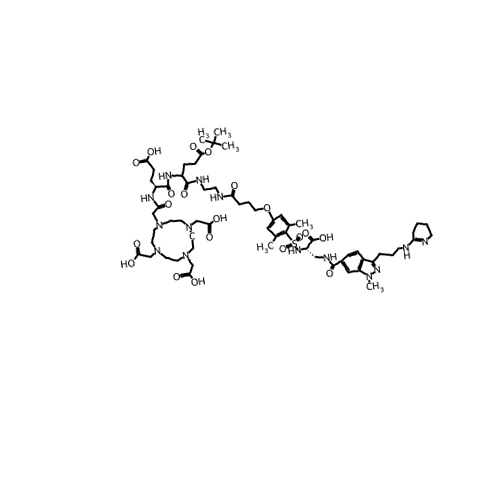 Cc1cc(OCCCC(=O)NCCNC(=O)C(CCC(=O)OC(C)(C)C)NC(=O)[C@H](CCC(=O)O)NC(=O)CN2CCN(CC(=O)O)CCN(CC(=O)O)CCN(CC(=O)O)CC2)cc(C)c1S(=O)(=O)N[C@@H](CNC(=O)c1ccc2c(CCCNC3=NCCCC3)nn(C)c2c1)C(=O)O